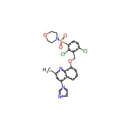 Cc1cc(-n2ccnc2)c2cccc(OCc3c(Cl)ccc(S(=O)(=O)N4CCOCC4)c3Cl)c2n1